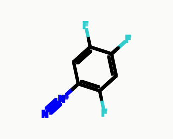 N#[N+]c1cc(F)c(F)cc1F